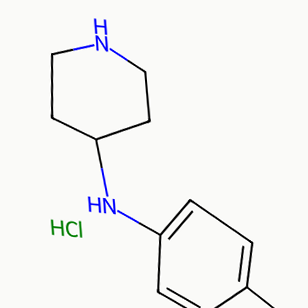 Cc1ccc(NC2CCNCC2)cc1.Cl